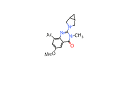 COc1cc(C(C)=O)c2nc(N3CC4CC4C3)n(C)c(=O)c2c1